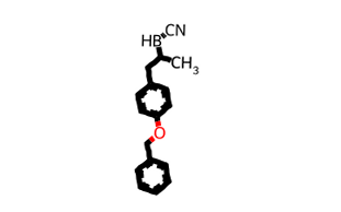 CC(BC#N)Cc1ccc(OCc2ccccc2)cc1